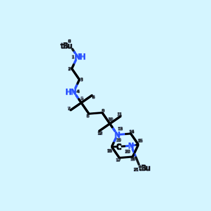 CC(C)(C)NCCNC(C)(C)CCC(C)(C)N1CC2CCC1CN2C(C)(C)C